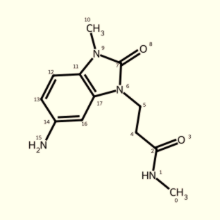 CNC(=O)CCn1c(=O)n(C)c2ccc(N)cc21